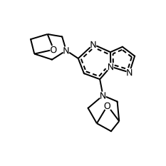 c1cc2nc(N3CC4CC(C3)O4)cc(N3CC4CC(C3)O4)n2n1